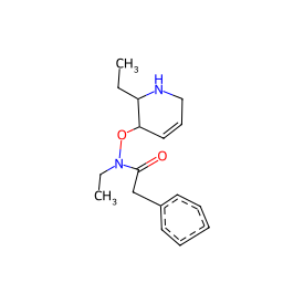 CCC1NCC=CC1ON(CC)C(=O)Cc1ccccc1